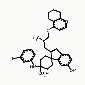 C[C@@H](COc1ccnc2c1CCCC2)CC1Cc2ccc(O)cc2C12CCC(Nc1cccc(Cl)c1)(C(=O)O)CC2